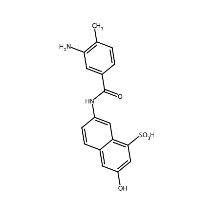 Cc1ccc(C(=O)Nc2ccc3cc(O)cc(S(=O)(=O)O)c3c2)cc1N